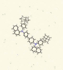 c1ccc2c(N(c3ccc(-c4ccc(N(c5ccc(C67CC8CC9CC(C6)C987)cc5)c5cccc6ccccc56)cc4)cc3)c3ccc(C45CC6CC4CC6C5)cc3)cccc2c1